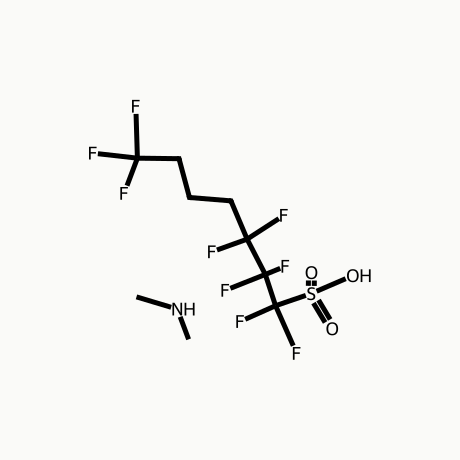 CNC.O=S(=O)(O)C(F)(F)C(F)(F)C(F)(F)CCCC(F)(F)F